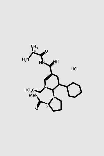 CNC(=O)[C@@H]1CCCN1C1C(C2CCCCC2)CC(C(=N)NC(=O)[C@H](C)N)=CN1CC(=O)O.Cl